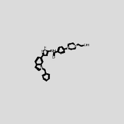 O=C(Nc1cc(-c2ccc3ccn(Cc4ccccc4)c3c2)n[nH]1)c1ccc(N2CCN(CCO)CC2)cc1